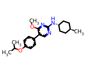 COc1nc(N[C@H]2CC[C@H](C)CC2)ncc1-c1ccc(OC(C)C)cc1